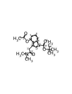 CC(=O)Oc1cccc2c1c(CC(=O)N(C)C)cn2C(=O)OC(C)(C)C